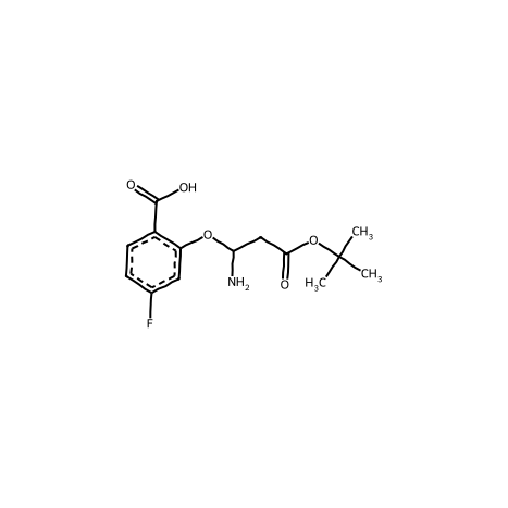 CC(C)(C)OC(=O)CC(N)Oc1cc(F)ccc1C(=O)O